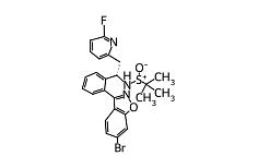 CC(C)(C)[S+]([O-])N[C@@H](Cc1cccc(F)n1)c1ccccc1-c1noc2cc(Br)ccc12